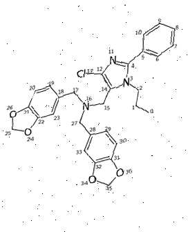 CCCn1c(-c2ccccc2)nc(Cl)c1CN(Cc1ccc2c(c1)OCO2)Cc1ccc2c(c1)OCO2